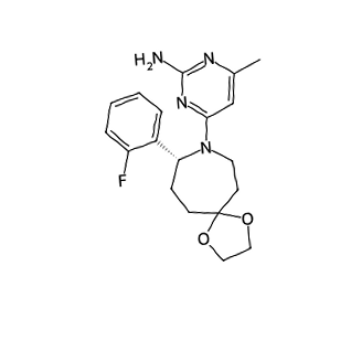 Cc1cc(N2CCC3(CC[C@@H]2c2ccccc2F)OCCO3)nc(N)n1